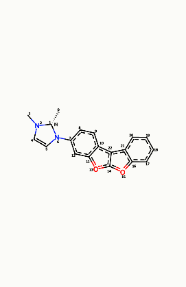 C[C@H]1N(C)C=CN1c1ccc2c(c1)oc1oc3ccccc3c12